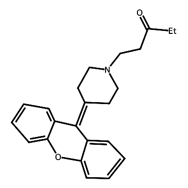 CCC(=O)CCN1CCC(=C2c3ccccc3Oc3ccccc32)CC1